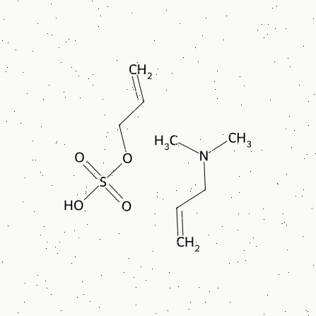 C=CCN(C)C.C=CCOS(=O)(=O)O